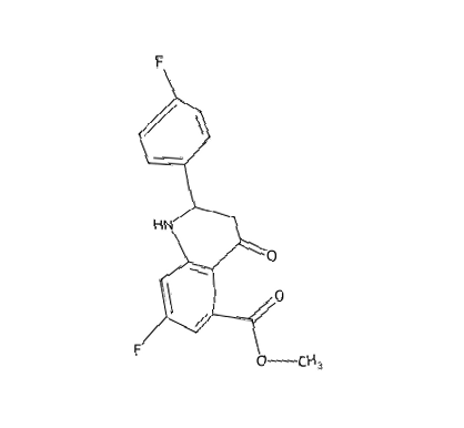 COC(=O)c1cc(F)cc2c1C(=O)CC(c1ccc(F)cc1)N2